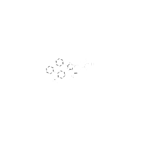 CC(OCn1nc(-c2cccc(-c3ccccc3-c3ccccc3C(F)(F)F)c2)nc1C(N)=O)[Si](C)(C)C